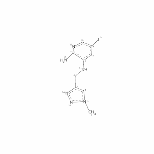 Cn1cc(CNc2cc(I)cnc2N)nn1